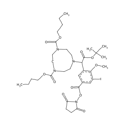 CCCCOC(=O)N1CCN(C(=O)OCCCC)CCN(C(C(=O)OC(C)(C)C)c2cc(C(=O)ON3C(=O)CCC3=O)cc(I)c2OC)CC1